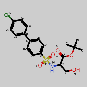 CC(C)(C)OC(=O)C(CO)NS(=O)(=O)c1ccc(-c2ccc(Cl)cc2)cc1